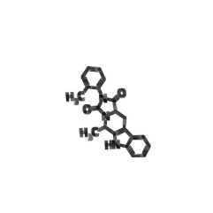 Cc1ccccc1N1C(=O)C2Cc3c([nH]c4ccccc34)C(C)N2C1=O